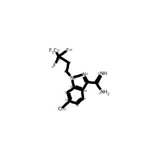 N=C(N)c1nn(CCC(F)(F)C(F)(F)F)c2cc(Cl)ccc12